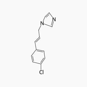 Clc1ccc(C=CCn2ccnc2)cc1